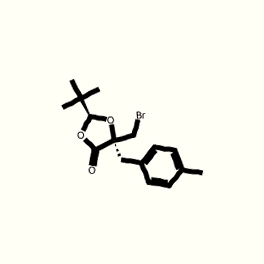 Cc1ccc(C[C@@]2(CBr)O[C@H](C(C)(C)C)OC2=O)cc1